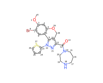 COc1cc2c(cc1Br)-c1c(c(C(=O)N3CCCNCC3)nn1-c1cccs1)CO2